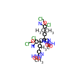 CC(C)(c1ccc(-c2cn(CC(C)(c3ccc(-c4ccc5c(NS(C)(=O)=O)ncnc5c4)cc3)c3cc(Cl)c(OCCCl)c(C#N)c3)c3nc(NS(C)(=O)=O)ncc23)cc1)c1cc(Cl)c(OCCCl)c(C#N)c1